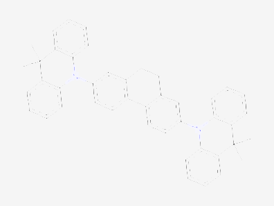 CC1(C)c2ccccc2N(c2ccc3c(c2)CCc2cc(N4c5ccccc5C(C)(C)c5ccccc54)ccc2-3)c2ccccc21